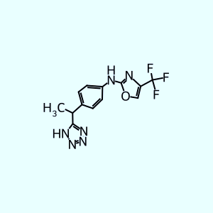 CC(c1ccc(Nc2nc(C(F)(F)F)co2)cc1)c1nnn[nH]1